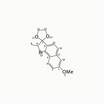 COc1ccc2cc(C3(C(C)Br)OCCO3)ccc2c1